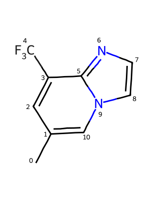 Cc1cc(C(F)(F)F)c2nccn2c1